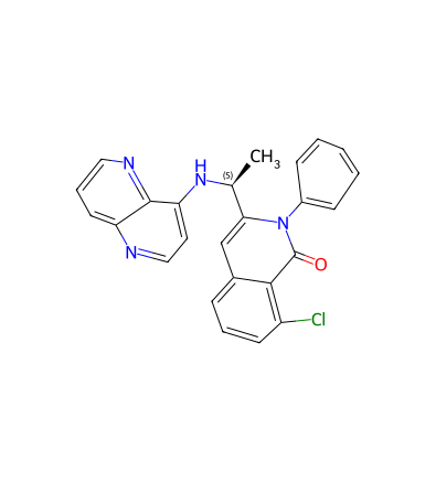 C[C@H](Nc1ccnc2cccnc12)c1cc2cccc(Cl)c2c(=O)n1-c1ccccc1